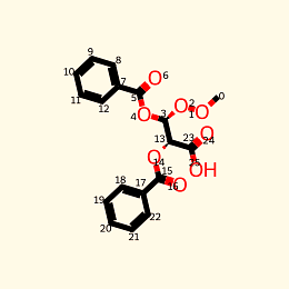 COO[C@H](OC(=O)c1ccccc1)[C@@H](OC(=O)c1ccccc1)C(=O)O